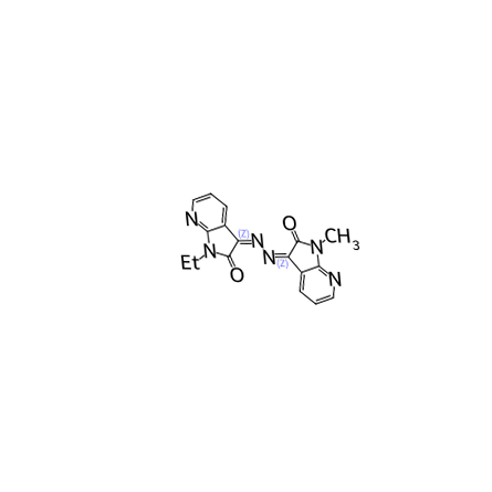 CCN1C(=O)/C(=N\N=C2/C(=O)N(C)c3ncccc32)c2cccnc21